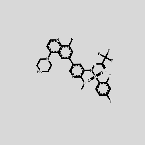 COc1ncc(-c2cc(F)c3nccc(N4CCNCC4)c3c2)cc1N(OC(=O)C(F)(F)F)S(=O)(=O)c1ccc(F)cc1F